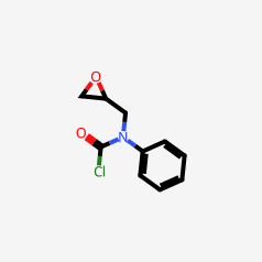 O=C(Cl)N(CC1CO1)c1ccccc1